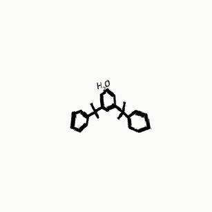 CC(C)(c1ccccc1)c1cccc(C(C)(C)c2ccccc2)c1.O